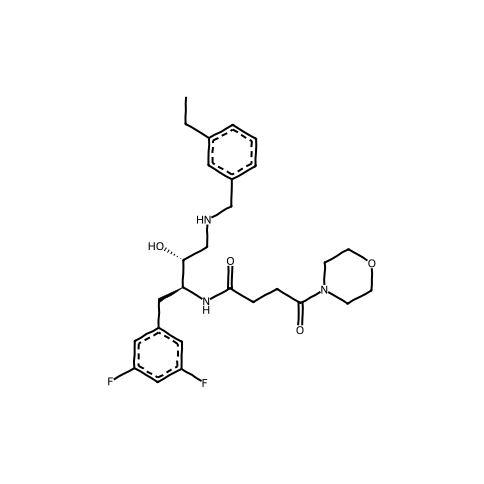 CCc1cccc(CNC[C@@H](O)[C@H](Cc2cc(F)cc(F)c2)NC(=O)CCC(=O)N2CCOCC2)c1